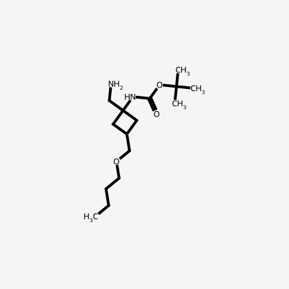 CCCCOCC1CC(CN)(NC(=O)OC(C)(C)C)C1